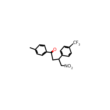 Cc1ccc(C(=O)CC(C[N+](=O)[O-])c2ccc(C(F)(F)F)cc2)cc1